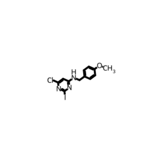 COc1ccc(CNc2cc(Cl)nc(I)n2)cc1